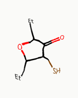 CCC1OC(CC)C(S)C1=O